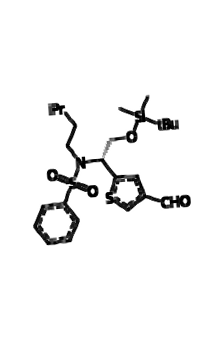 CC(C)CCN([C@H](CO[Si](C)(C)C(C)(C)C)c1cc(C=O)cs1)S(=O)(=O)c1ccccc1